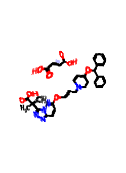 CC(C)(C(=O)O)c1nnc2ccc(OCCCN3CCC(OC(c4ccccc4)c4ccccc4)CC3)nn12.O=C(O)/C=C/C(=O)O